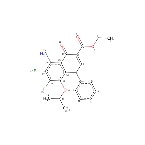 CCOC(=O)C1=CC(c2ccccc2)c2c(OC(C)C)c(F)c(F)c(N)c2C1=O